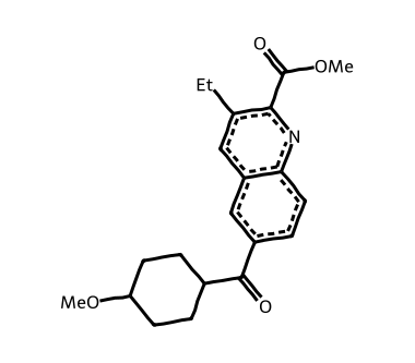 CCc1cc2cc(C(=O)C3CCC(OC)CC3)ccc2nc1C(=O)OC